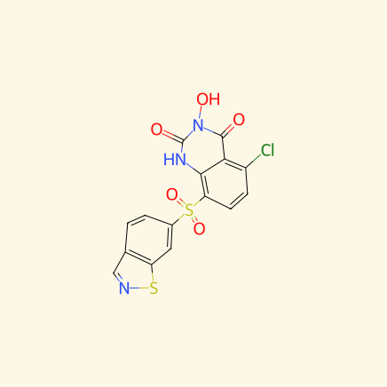 O=c1[nH]c2c(S(=O)(=O)c3ccc4cnsc4c3)ccc(Cl)c2c(=O)n1O